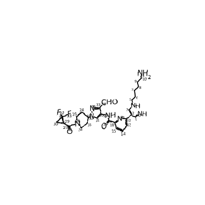 N=C/C(=C\NCCCCCCN)c1cccc(C(=O)Nc2cn(C3CCN(C(=O)C4CC4(F)F)CC3)nc2C=O)n1